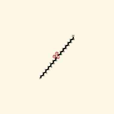 CCCCCCCCCCCCCC(=O)OC(=O)CCCCCCCCCCCC